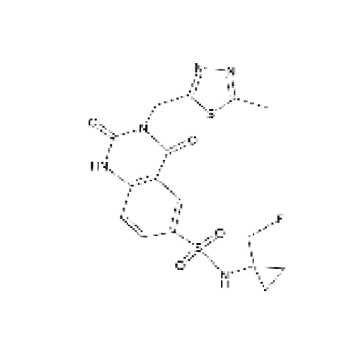 Cc1nnc(Cn2c(=O)[nH]c3ccc(S(=O)(=O)NC4(CF)CC4)cc3c2=O)s1